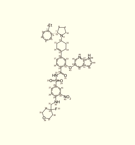 CCc1ccccc1[C@@H]1CCCN1C1CC=C(c2ccc(C(=O)NS(=O)(=O)c3ccc(NCC4(F)CCOCC4)c([N+](=O)[O-])c3)c(Oc3cnc4[nH]ccc4c3)c2)CC1